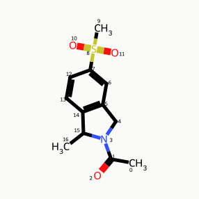 CC(=O)N1Cc2cc(S(C)(=O)=O)ccc2C1C